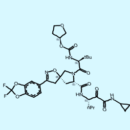 CCC[C@H](NC(=O)[C@@H]1C[C@@]2(CC(c3ccc4c(c3)OC(F)(F)O4)=NO2)CN1C(=O)[C@@H](NC(=O)O[C@H]1CCOC1)C(C)(C)C)C(=O)C(=O)NC1CC1